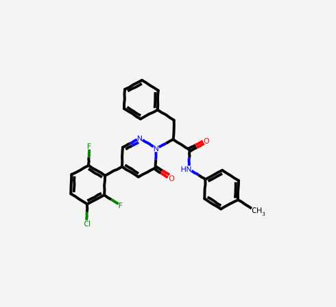 Cc1ccc(NC(=O)C(Cc2ccccc2)n2ncc(-c3c(F)ccc(Cl)c3F)cc2=O)cc1